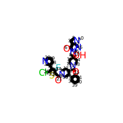 Cn1ccc2c(=O)n(CC3(O)CCN(C(=O)[C@@H]4CCN(C(=O)c5sc(Cl)c(-c6cccnc6)c5F)C[C@H]4c4ccccc4)CC3)cnc21